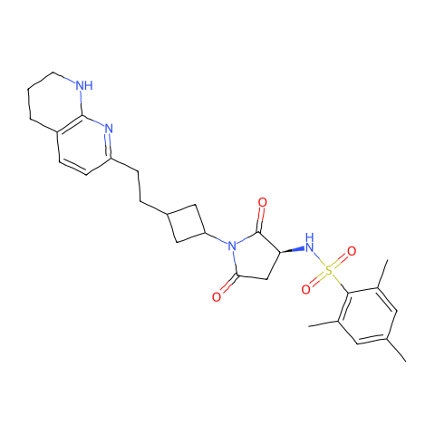 Cc1cc(C)c(S(=O)(=O)N[C@H]2CC(=O)N(C3CC(CCc4ccc5c(n4)NCCC5)C3)C2=O)c(C)c1